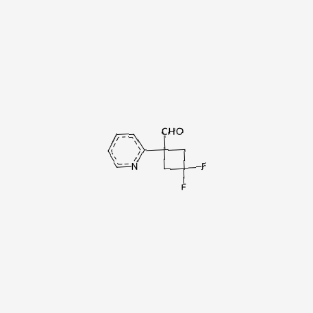 O=CC1(c2ccccn2)CC(F)(F)C1